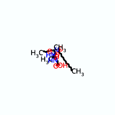 CCCCCCCCCCCCC(=O)N(C)[C@H](COCCCC)C(=O)N[C@H](C)C(=O)NCC(=O)O